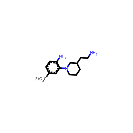 CCOC(=O)c1ccc(N)c(N2CCCC(CCN)C2)c1